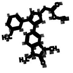 Cc1cccc(-c2nn(CC(=O)OC(C)(C)C)cc2-c2ccc3c(c2)n(C)c(=O)n3C)c1